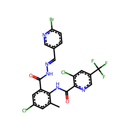 Cc1cc(Cl)cc(C(=O)NN=Cc2ccc(Br)nc2)c1NC(=O)c1ncc(C(F)(F)F)cc1Cl